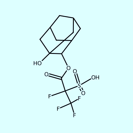 O=C(OC1C2CC3CC(C2)CC1(O)C3)C(F)(C(F)(F)F)S(=O)(=O)O